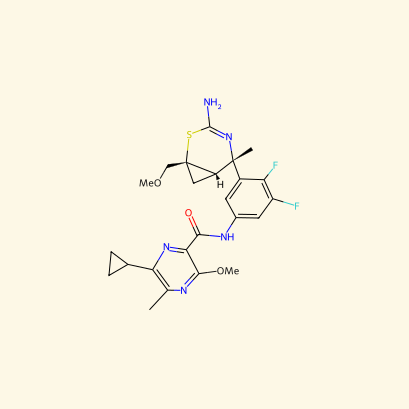 COC[C@]12C[C@H]1[C@@](C)(c1cc(NC(=O)c3nc(C4CC4)c(C)nc3OC)cc(F)c1F)N=C(N)S2